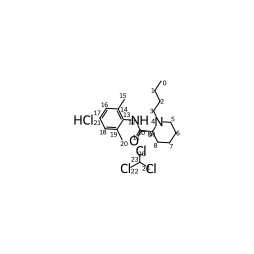 CCCCN1CCCC[C@H]1C(=O)Nc1c(C)cccc1C.Cl.ClC(Cl)Cl